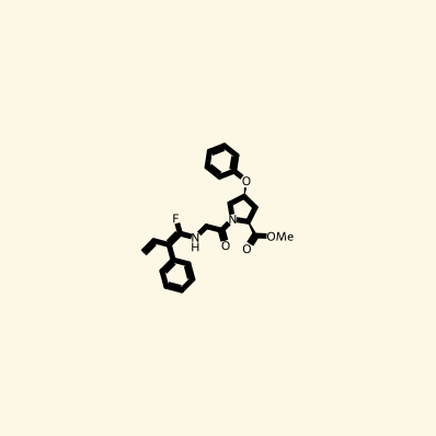 C=CC(=C(F)NCC(=O)N1C[C@H](Oc2ccccc2)C[C@H]1C(=O)OC)c1ccccc1